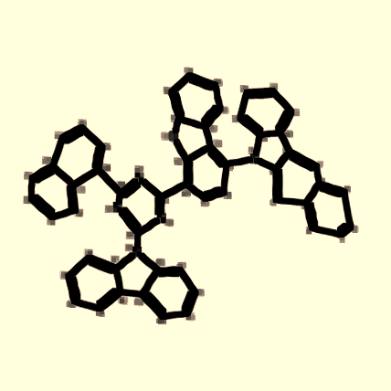 c1ccc2cc3c(cc2c1)c1ccccc1n3-c1ccc(-c2nc(-c3cccc4ccccc34)nc(-n3c4ccccc4c4ccccc43)n2)c2oc3ccccc3c12